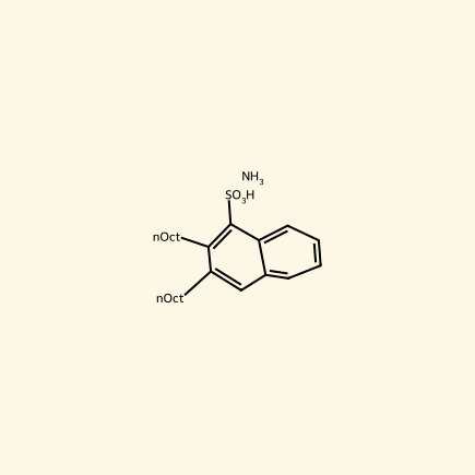 CCCCCCCCc1cc2ccccc2c(S(=O)(=O)O)c1CCCCCCCC.N